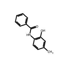 Cc1ccc(NC(=O)c2ccccc2)c(O)c1